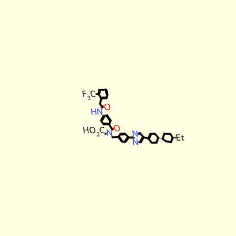 CC[C@H]1CC[C@H](C2CC=C(c3cnc(-c4ccc(CN(CC(=O)O)C(=O)c5ccc(NC(=O)Cc6ccccc6C(F)(F)F)cc5)cc4)nc3)CC2)CC1